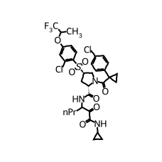 CCCC(NC(=O)[C@@H]1C[C@@H](S(=O)(=O)c2ccc(OC(C)C(F)(F)F)cc2Cl)CN1C(=O)C1(c2ccc(Cl)cc2)CC1)C(=O)C(=O)NC1CC1